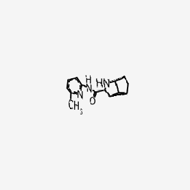 Cc1cccc(NC(=O)[C@H]2NC3CCC4C3C42)n1